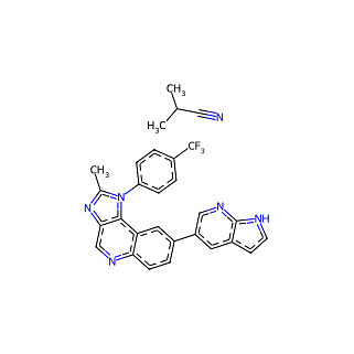 CC(C)C#N.Cc1nc2cnc3ccc(-c4cnc5[nH]ccc5c4)cc3c2n1-c1ccc(C(F)(F)F)cc1